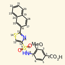 COc1cc(C(=O)O)ccc1NS(=O)(=O)c1csc(-c2ccc3ccccc3c2)n1